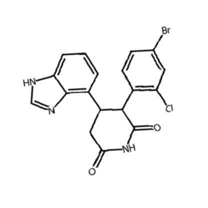 O=C1CC(c2cccc3[nH]cnc23)C(c2ccc(Br)cc2Cl)C(=O)N1